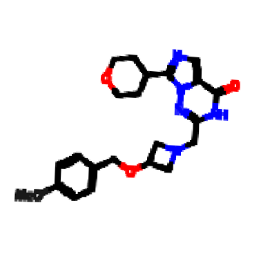 COc1ccc(COC2CN(Cc3nn4c(C5CCOCC5)ncc4c(=O)[nH]3)C2)cc1